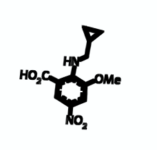 COc1cc([N+](=O)[O-])cc(C(=O)O)c1NCC1CC1